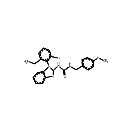 NCc1cccc(Cl)c1N1c2ccccc2SC1NC(=O)NCc1ccc(OC(F)(F)F)cc1